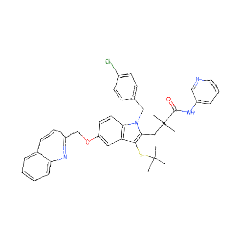 CC(C)(C)Sc1c(CC(C)(C)C(=O)Nc2cccnc2)n(Cc2ccc(Cl)cc2)c2ccc(OCc3ccc4ccccc4n3)cc12